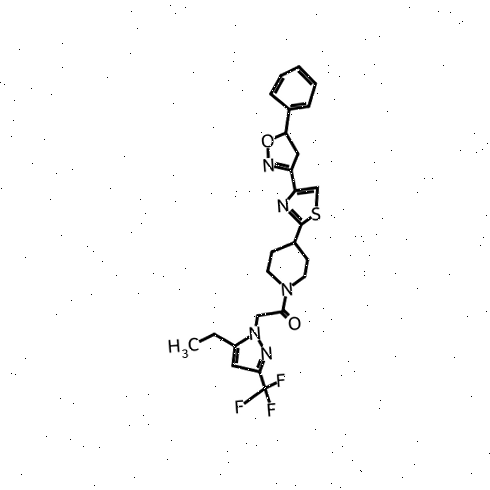 CCc1cc(C(F)(F)F)nn1CC(=O)N1CCC(c2nc(C3=NOC(c4ccccc4)C3)cs2)CC1